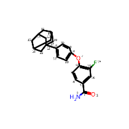 NC(=O)c1ccc(Oc2ccc(C34CC5CC(CC(C5)C3)C4)cc2)c(F)c1